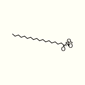 CCCCCCCCCCCCCCCCCC(=O)N1OCO1